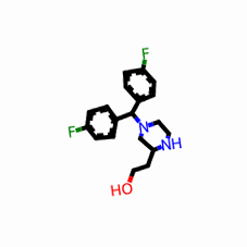 OCCC1CN(C(c2ccc(F)cc2)c2ccc(F)cc2)CCN1